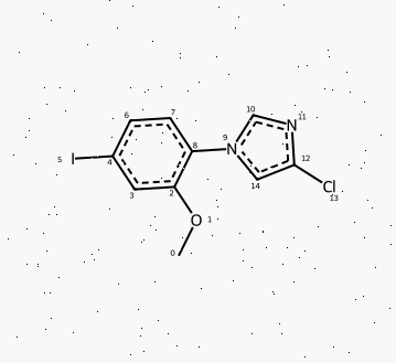 COc1cc(I)ccc1-n1cnc(Cl)c1